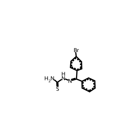 NC(=S)NN=C(c1ccccc1)c1ccc(Br)cc1